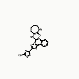 CCc1noc(-c2nc3c4ccccc4nc(N[C@@H]4CCCCNC4=O)n3n2)n1